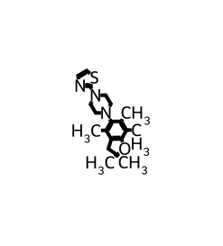 Cc1c(C)c(N2CCN(c3nccs3)CC2)c(C)c2c1OC(C)(C)C2